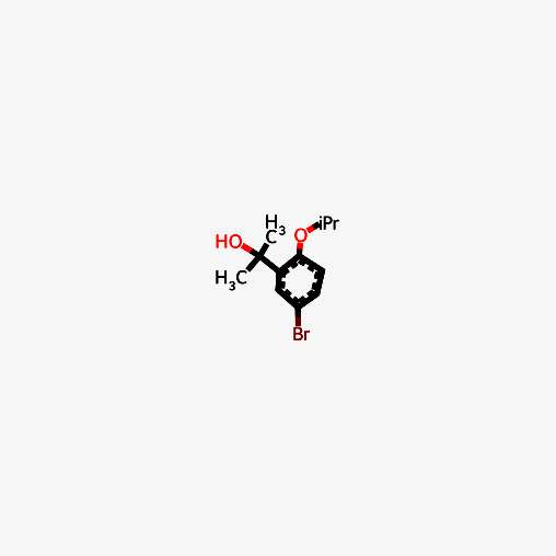 CC(C)Oc1ccc(Br)cc1C(C)(C)O